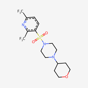 O=S(=O)(c1ccc(C(F)(F)F)nc1C(F)(F)F)N1CCN(C2CCOCC2)CC1